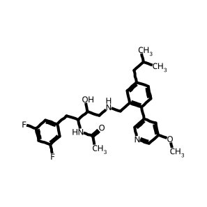 COc1cncc(-c2ccc(CC(C)C)cc2CNCC(O)C(Cc2cc(F)cc(F)c2)NC(C)=O)c1